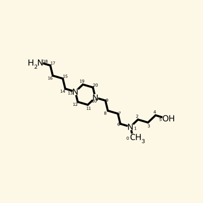 CN(CCCO)CCCCN1CCN(CCCCN)CC1